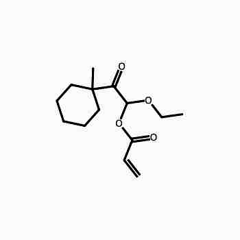 C=CC(=O)OC(OCC)C(=O)C1(C)CCCCC1